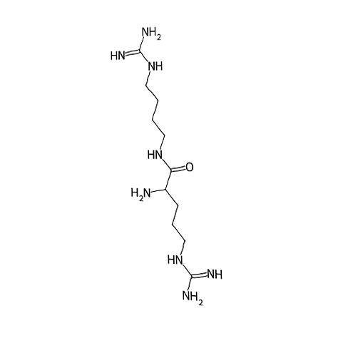 N=C(N)NCCCCNC(=O)C(N)CCCNC(=N)N